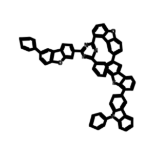 c1ccc(-c2ccc3oc4cc(-c5nc(-c6ccccc6)nc(-c6cccc7oc8ccc(-c9ccc%10sc%11c(-c%12ccc%13c(c%12)c%12ccccc%12n%13-c%12ccccc%12)cccc%11c%10c9)cc8c67)n5)ccc4c3c2)cc1